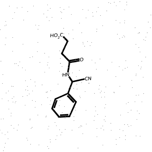 N#CC(NC(=O)CCC(=O)O)c1ccccc1